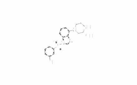 C[C@@H]1CN(c2cccc3c2ncn3S(=O)(=O)c2cccc(Cl)c2)CCN1